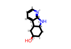 OC1CCC2Nc3ncccc3C2C1